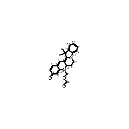 CC1(C)C2=C3C=C4C=CC(=O)C=C4N(COC=O)C3CCN2c2ccccc21